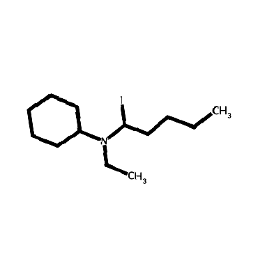 CCCCC(I)N(CC)C1CCCCC1